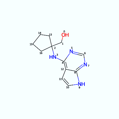 OCC1(Nc2ncnc3[nH]ccc23)CCCC1